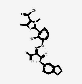 CC(=N)/C(=N/Nc1cccc(C2SC(C)=C(C(=O)O)N2C)c1O)C(=O)Nc1ccc2c(c1)CCC2